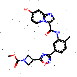 COC(=O)N1CC(c2nc(-c3ccc(C)c(NC(=O)c4cnc5cc(O)ccn45)c3)no2)C1